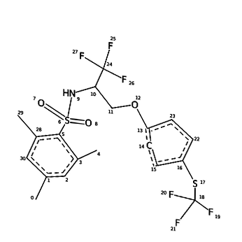 Cc1cc(C)c(S(=O)(=O)NC(COc2ccc(SC(F)(F)F)cc2)C(F)(F)F)c(C)c1